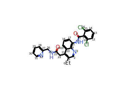 CCc1cnc2c(NC(=O)c3c(Cl)cccc3Cl)cccc2c1CC(=O)NCc1ccccn1